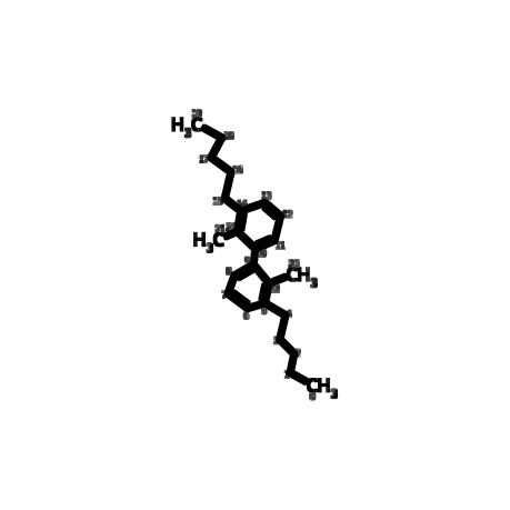 CCCCCc1cccc(-c2cccc(CCCCC)c2C)c1C